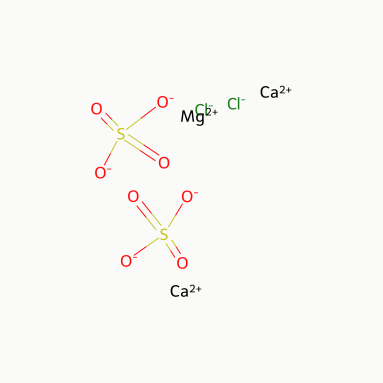 O=S(=O)([O-])[O-].O=S(=O)([O-])[O-].[Ca+2].[Ca+2].[Cl-].[Cl-].[Mg+2]